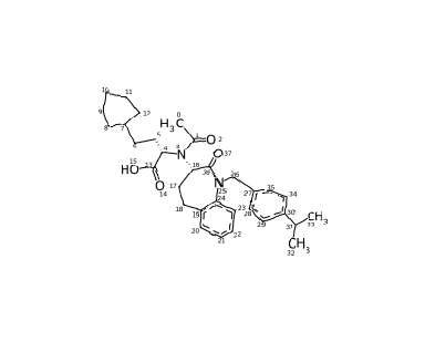 CC(=O)N([C@@H](CCC1CCCCC1)C(=O)O)[C@H]1CCc2ccccc2N(Cc2ccc(C(C)C)cc2)C1=O